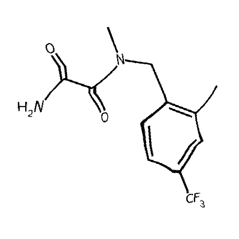 Cc1cc(C(F)(F)F)ccc1CN(C)C(=O)C(N)=O